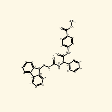 COC(=O)c1ccc(NC(=O)C(NC(=O)OCC2c3ccccc3-c3ccccc32)c2ccccc2)cc1